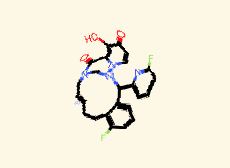 O=C1c2c(O)c(=O)ccn2N2CN1C/C=C/CCc1c(F)cccc1C2c1cccc(F)n1